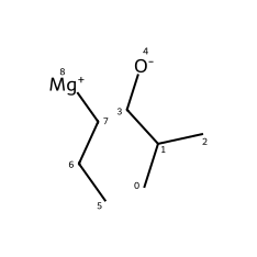 CC(C)C[O-].CC[CH2][Mg+]